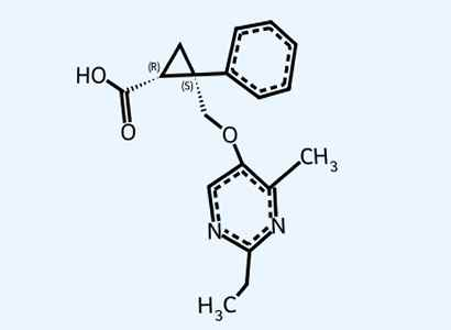 CCc1ncc(OC[C@@]2(c3ccccc3)C[C@H]2C(=O)O)c(C)n1